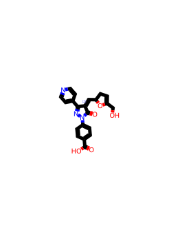 O=C(O)c1ccc(N2N=C(c3ccncc3)/C(=C/C3CC=C(CO)O3)C2=O)cc1